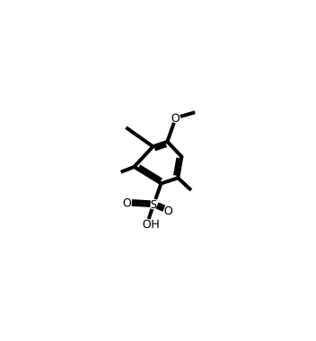 COc1cc(C)c(S(=O)(=O)O)c(C)c1C